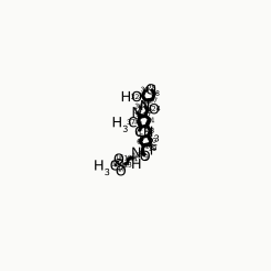 Cc1c(Cc2ccc(C(=O)NCCCS(C)(=O)=O)c(F)c2)cc2c(=O)n([C@H]3CCOC[C@@H]3O)cnc2c1C